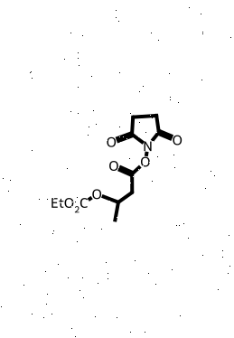 CCOC(=O)OC(C)CC(=O)ON1C(=O)CCC1=O